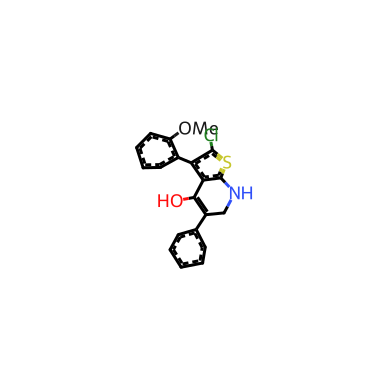 COc1ccccc1-c1c(Cl)sc2c1C(O)=C(c1ccccc1)CN2